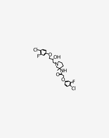 CC1(NC(=O)COc2ccc(Cl)c(F)c2)CCCN(CC(O)COc2ccc(Cl)c(F)c2)C1